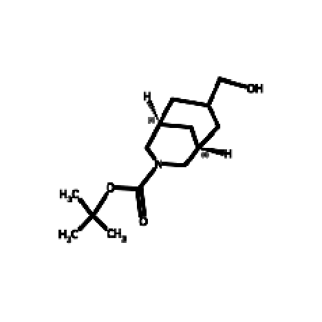 CC(C)(C)OC(=O)N1C[C@H]2CC(CO)C[C@@H](C2)C1